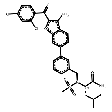 CC(C)C[C@@H](C(N)=O)N(Cc1cccc(-c2ccc3c(N)c(C(=O)c4ccc(Cl)cc4Cl)oc3c2)c1)S(C)(=O)=O